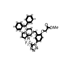 COC(=O)COc1ccc(-n2nnnc2C(F)(F)F)cc1CN1C[C@@H]2CCCN2[C@H](C(c2ccccc2)c2ccccc2)C1